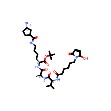 CC(C)[C@H](NC(=O)CCCCCN1C(=O)C=CC1O)C(=O)N[C@@H](C)C(=O)N[C@@H](CCCCNC(=O)C1CC[C@H](N)C1)C(=O)OC(C)(C)C